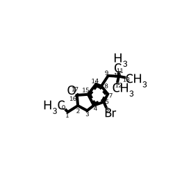 CCC1Cc2c(Br)cc(CC(C)(C)C)cc2C1=O